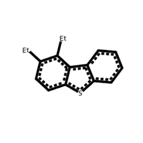 CCc1ccc2sc3ccccc3c2c1CC